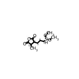 CO[SiH](CCCC1C(=O)OC(=O)C1C)OC